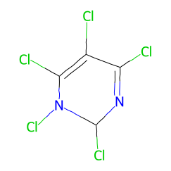 ClC1=NC(Cl)N(Cl)C(Cl)=C1Cl